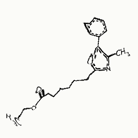 CCOC(=O)CCCCCc1nc(C)c(-c2ccccc2)o1